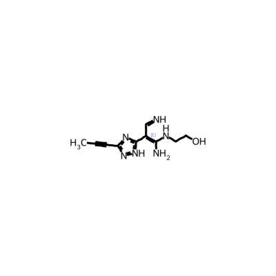 CC#Cc1n[nH]c(/C(C=N)=C(\N)NCCO)n1